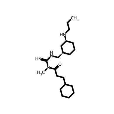 CCCN[C@H]1CCC[C@@H](CNC(=N)N(C)C(=O)CCC2CCCCC2)C1